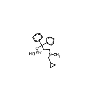 CCCOC(CCN(C)CC1CC1)(c1ccccc1)c1ccccc1.Cl